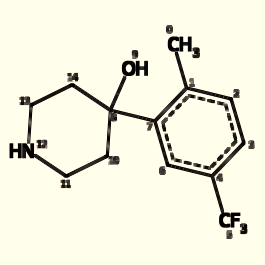 Cc1ccc(C(F)(F)F)cc1C1(O)CCNCC1